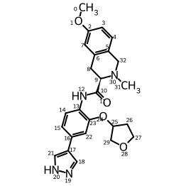 COc1ccc2c(c1)C[C@H](C(=O)Nc1ccc(-c3cn[nH]c3)cc1OC1CCOC1)N(C)C2